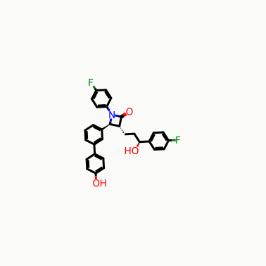 O=C1[C@H](CC[C@H](O)c2ccc(F)cc2)[C@@H](c2cccc(-c3ccc(O)cc3)c2)N1c1ccc(F)cc1